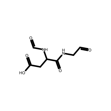 O=CCNC(=O)C(CC(=O)O)NC=O